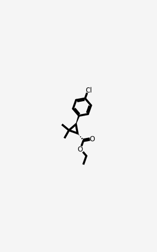 CCOC(=O)[C@H]1[C@H](c2ccc(Cl)cc2)C1(C)C